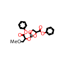 COCC(OB1OCC(C(=O)Oc2ccccc2)O1)C(=O)Oc1ccccc1